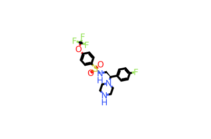 O=S(=O)(NC[C@@H](c1ccc(F)cc1)N1CCNCC1)c1ccc(OC(F)(F)F)cc1